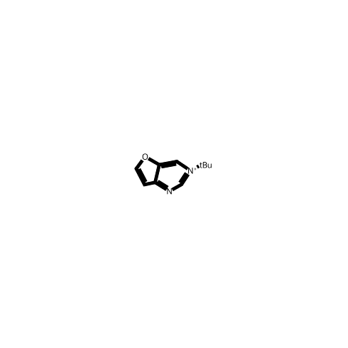 CC(C)(C)[n+]1cnc2ccoc2c1